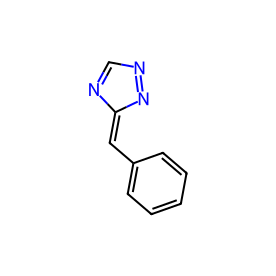 C1=NC(=Cc2ccccc2)N=N1